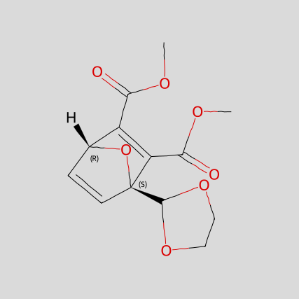 COC(=O)C1=C(C(=O)OC)[C@]2(C3OCCO3)C=C[C@H]1O2